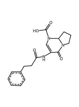 O=C(CCc1ccccc1)NC1=CN(C(=O)O)C2CCCN2C1=O